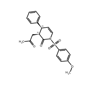 COc1ccc(S(=O)(=O)N2C=C[C@H](c3ccccc3)[C@H](CC(C)=O)C2=O)cc1